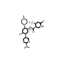 CN1CCN(c2cc(F)c(-c3cnc(N(C)C)nc3)cc2NC(=O)c2c[nH]c(=O)cc2C(F)(F)F)CC1